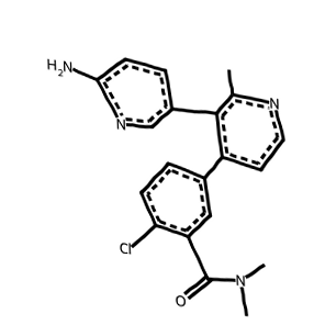 Cc1nccc(-c2ccc(Cl)c(C(=O)N(C)C)c2)c1-c1ccc(N)nc1